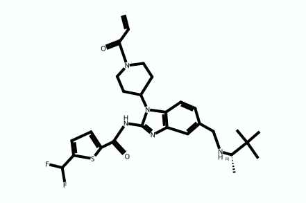 C=CC(=O)N1CCC(n2c(NC(=O)c3ccc(C(F)F)s3)nc3cc(CN[C@@H](C)C(C)(C)C)ccc32)CC1